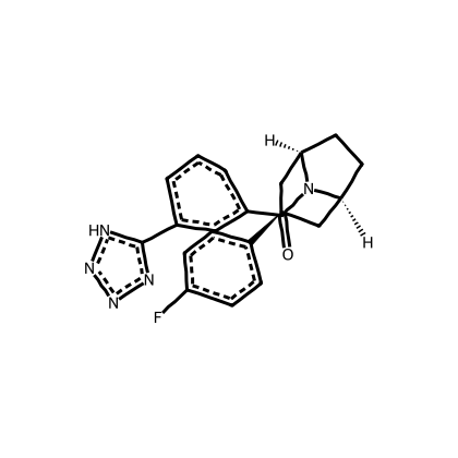 O=C(c1cccc(-c2nnn[nH]2)c1)N1[C@@H]2CC[C@H]1C[C@@H](c1ccc(F)cc1)C2